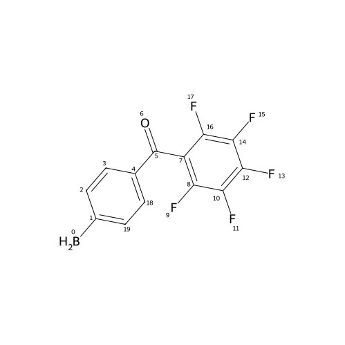 Bc1ccc(C(=O)c2c(F)c(F)c(F)c(F)c2F)cc1